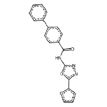 O=C(Nc1nnc(-c2ccco2)o1)c1ccc(-c2ccccc2)cc1